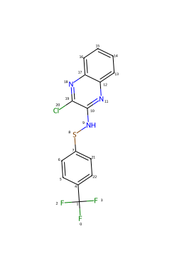 FC(F)(F)c1ccc(SNc2nc3ccccc3nc2Cl)cc1